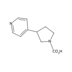 O=C(O)N1CCC(c2ccncc2)C1